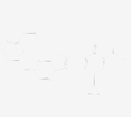 CC(=O)Nc1cc(Oc2cnc3nc(Oc4cc(C5CC5)cn(C(C)C)c4=O)sc3n2)ccn1